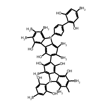 Bc1cc(O)c(-c2ccc(-n3c4c(B)c(B)c(B)c(O)c4c4c(O)c(-c5c(O)c(B)c6c(c5O)c5c(O)c(B)c(C)c(B)c5n6-c5c(O)cc(B)cc5O)c(B)c(B)c43)cc2)c(O)c1